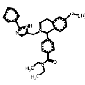 CCN(CC)C(=O)c1ccc(C2c3ccc(OC)cc3CCN2Cc2cnc(-c3ccccc3)[nH]2)cc1